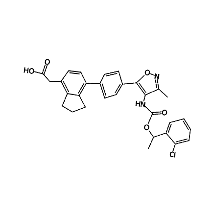 Cc1noc(-c2ccc(-c3ccc(CC(=O)O)c4c3CCC4)cc2)c1NC(=O)OC(C)c1ccccc1Cl